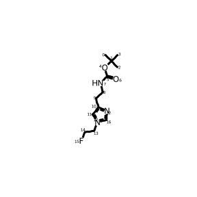 CC(C)(C)OC(=O)NCCc1cn(CCF)cn1